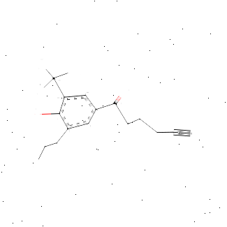 C#CCCCC(=O)c1cc(CCC)c(O)c(C(C)(C)C)c1